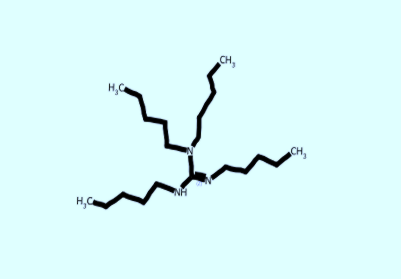 CCCCC/N=C(/NCCCCC)N(CCCCC)CCCCC